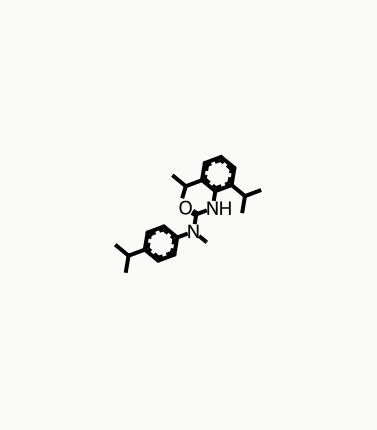 CC(C)c1ccc(N(C)C(=O)Nc2c(C(C)C)cccc2C(C)C)cc1